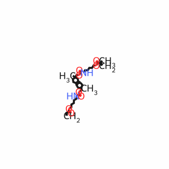 C=CC(=O)OCCCCCNC(=O)OCC1(C)CC2CC(C1)C1CC(C)(COC(=O)NCCCCCOC(=O)C(=C)C)CCC21